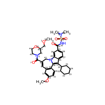 COC[C@H]1CN(C(=O)C2=Cc3cc(OC)ccc3-c3c(C4CCCCC4)c4ccc(C(=O)NS(=O)(=O)N(C)C)cc4n3C2)CCO1